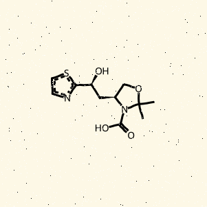 CC1(C)OC[C@H](C[C@H](O)c2nccs2)N1C(=O)O